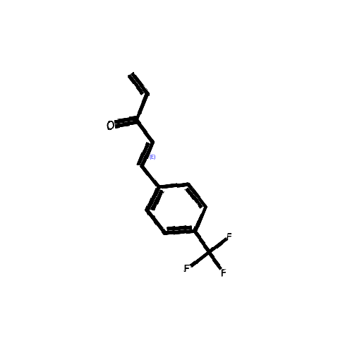 C=CC(=O)/C=C/c1ccc(C(F)(F)F)cc1